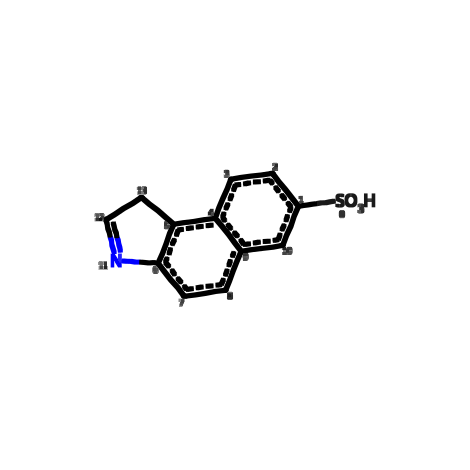 O=S(=O)(O)c1ccc2c3c(ccc2c1)N=CC3